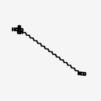 O=C=NCCCCCCCCCCCCCCCCCCCCCCCCCCCCCCOP(=O)(O)O